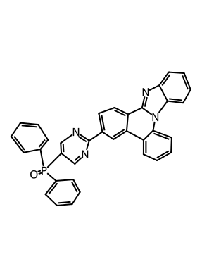 O=P(c1ccccc1)(c1ccccc1)c1cnc(-c2ccc3c(c2)c2ccccc2n2c4ccccc4nc32)nc1